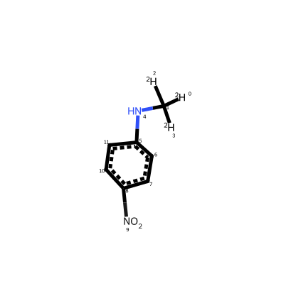 [2H]C([2H])([2H])Nc1ccc([N+](=O)[O-])cc1